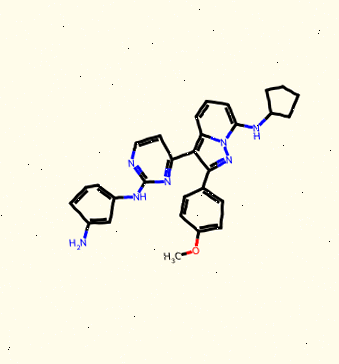 COc1ccc(-c2nn3c(NC4CCCC4)cccc3c2-c2ccnc(Nc3cccc(N)c3)n2)cc1